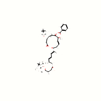 CC[C@H](O[Si](C)(C)C(C)(C)C)[C@@H](C)[C@H]1O[C@@H]1C[C@H](C)/C=C/C=C(\C)[C@H]1OC(=O)C[C@H](O[Si](C)(C)C(C)(C)C)CC[C@@]2(C)OC(c3ccccc3)O[C@H]2/C=C/[C@@H]1C